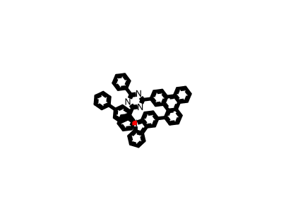 c1ccc(-c2ccc(-n3c4ccccc4c4cc(-c5cccc6c7ccccc7c7ccc(-c8nc(-c9ccccc9)nc(-c9ccccc9)n8)cc7c56)ccc43)cc2)cc1